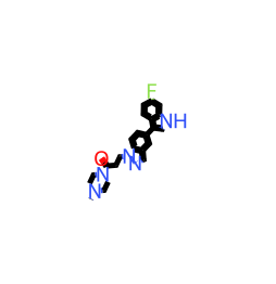 CN1CCN(C(=O)CCn2ncc3cc(-c4c[nH]c5cc(F)ccc45)ccc32)CC1